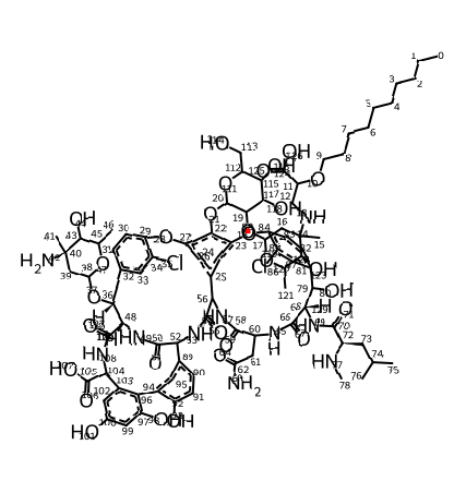 CCCCCCCCCCOC(CNC1(C)CC(OC2C(Oc3c4cc5cc3Oc3ccc(cc3Cl)[C@@H](OC3CC(C)(N)C(O)C(C)O3)[C@@H]3NC(=O)C(NC(=O)C5NC(=O)C(CC(N)=O)NC(=O)[C@@H](NC(=O)[C@@H](CC(C)C)NC)C(O)c5ccc(c(Cl)c5)O4)c4ccc(O)c(c4)-c4c(O)cc(O)cc4C(C(=O)O)NC3=O)OC(CO)C(O)C2O)OC(C)C1O)C(=O)O